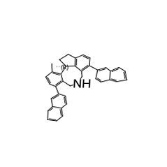 Cc1ccc(-c2ccc3ccccc3c2)c2c1[C@@]1(C)CCc3ccc(-c4ccc5ccccc5c4)c(c31)CNC2